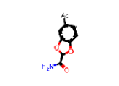 CC(=O)c1[c]cc2c(c1)OC(C(N)=O)O2